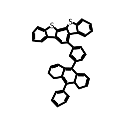 C1=CCC2C(=C1)C(c1cccc(-c3cc4c5ccccc5sc4c4sc5ccccc5c34)c1)=C1C=CCCC1=C2c1ccccc1